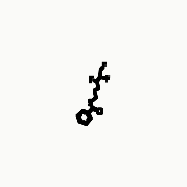 O=C(SCCCC(F)C(F)CF)c1ccccc1